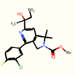 CC(C)(C)OC(=O)N1Cc2c(cc(C(O)(C[N+](=O)[O-])C(F)(F)F)nc2-c2ccc(F)c(Cl)c2)C1(C)C